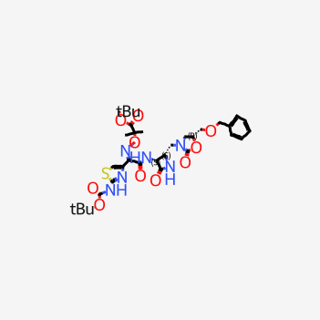 CC(C)(C)OC(=O)Nc1nc(C(=NOC(C)(C)C(=O)OC(C)(C)C)C(=O)N[C@@H]2C(=O)N[C@H]2CN2C[C@H](COCc3ccccc3)OC2=O)cs1